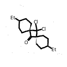 CCC1CC[C@]2(CC1)C(=O)[C@@]1(CCC(CC)CC1)C2(Cl)Cl